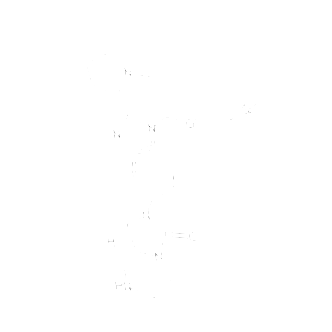 CN1CCCC1c1nc2cc(N3C[C@@H]4CNCCN4C3=O)ccc2n1COCC[Si](C)(C)C